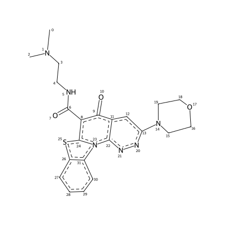 CN(C)CCNC(=O)c1c(=O)c2cc(N3CCOCC3)nnc2n2c1sc1ccccc12